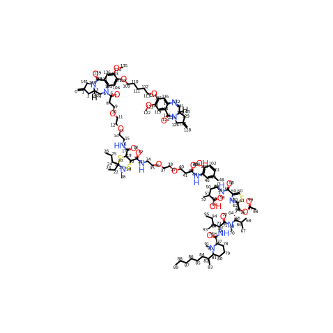 C=C1C[C@H]2CN(C(=O)CCOCCOCCNC(=O)C3SC(CC)(CCC)N(I)SC3C(=O)NCCOCCOCCC(=O)Nc3cc(C[C@@H](CC(C)C(=O)O)NC(=O)c4csc([C@@H](C[C@H](C(C)C)N(C)C(=O)[C@@H](NC(=O)[C@H]5CCCC(C(C)CCCCCC)N5C)[C@@H](C)CC)OC(C)=O)n4)ccc3O)c3cc(OCCCCCOc4cc5c(cc4OC)C(=O)N4CC(=C)C[C@H]4C=N5)c(OC)cc3C(=O)N2C1